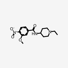 CCN1CCC(NC(=O)c2ccc([N+](=O)[O-])c(OC)c2)CC1